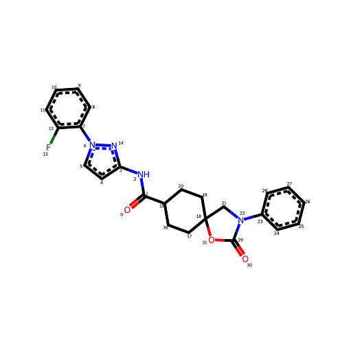 O=C(Nc1ccn(-c2ccccc2F)n1)C1CCC2(CC1)CN(c1ccccc1)C(=O)O2